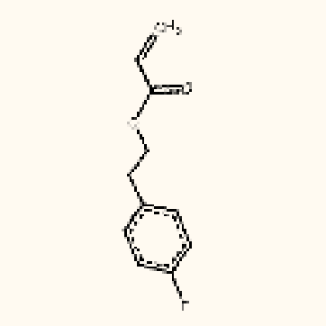 C=CC(=O)OCCc1ccc(F)cc1